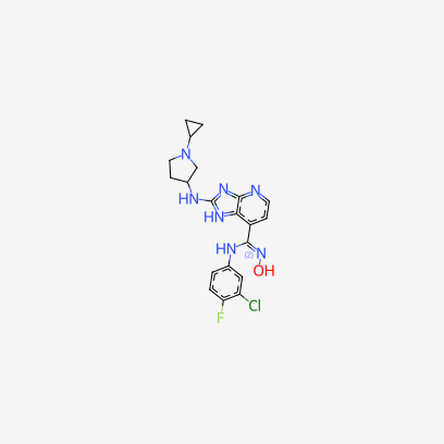 O/N=C(\Nc1ccc(F)c(Cl)c1)c1ccnc2nc(NC3CCN(C4CC4)C3)[nH]c12